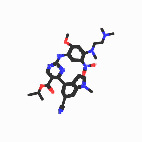 COc1cc(N(C)CCN(C)C)c([N+](=O)[O-])cc1Nc1ncc(C(=O)OC(C)C)c(-c2cc(C#N)cc3c2ccn3C)n1